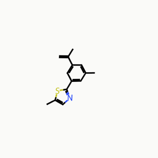 C=C(C)c1cc(C)cc(-c2ncc(C)s2)c1